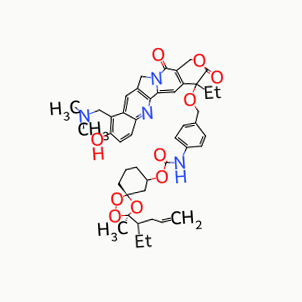 C=CCC(CC)[C@@]1(C)OO[C@@]2(CCCC(OC(=O)Nc3ccc(COC4(CC)C(=O)OCc5c4cc4n(c5=O)Cc5cc6c(CN(C)C)c(O)ccc6nc5-4)cc3)C2)O1